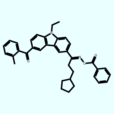 CCn1c2ccc(C(=O)c3ccccc3C)cc2c2cc(C(CCC3CCCC3)=NOC(=O)c3ccccc3)ccc21